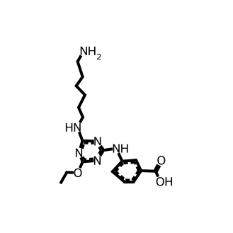 CCOc1nc(NCCCCCCN)nc(Nc2cccc(C(=O)O)c2)n1